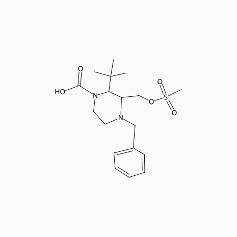 CC(C)(C)C1C(COS(C)(=O)=O)N(Cc2ccccc2)CCN1C(=O)O